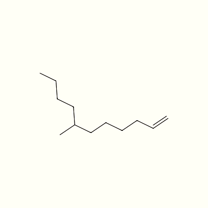 C=CCCCCC(C)CCCC